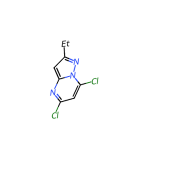 CCc1cc2nc(Cl)cc(Cl)n2n1